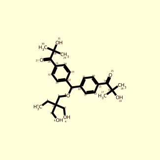 CCC(CO)(CO)COC(c1ccc(C(=O)C(C)(C)O)cc1)c1ccc(C(=O)C(C)(C)O)cc1